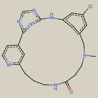 CN1CCC(=O)NCCCc2cc(ccn2)-c2ncnc(n2)Nc2cc(Cl)cc(c2)C1